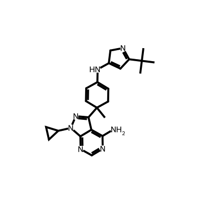 CC(C)(C)C1=NCC(NC2=CCC(C)(c3nn(C4CC4)c4ncnc(N)c34)C=C2)=C1